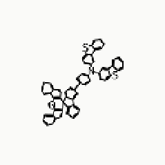 c1ccc2c(c1)-c1cc(-c3ccc(N(c4ccc5sc6ccccc6c5c4)c4ccc5sc6ccccc6c5c4)cc3)ccc1C21c2ccc3ccccc3c2Oc2c1ccc1ccccc21